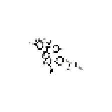 COC(=O)C(c1ccc(Cl)cc1)(c1ccc(Cl)cc1)c1ccc2nc(C3CC3)n([C@H]3CC[C@H](NC(=O)OC(C)(C)C)CC3)c2c1